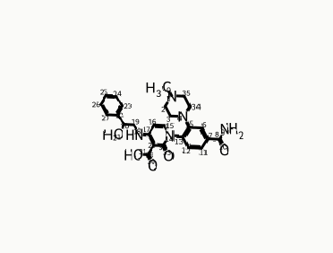 CN1CCN(c2cc(C(N)=O)ccc2-n2ccc(NCC(O)c3ccccc3)c(C(=O)O)c2=O)CC1